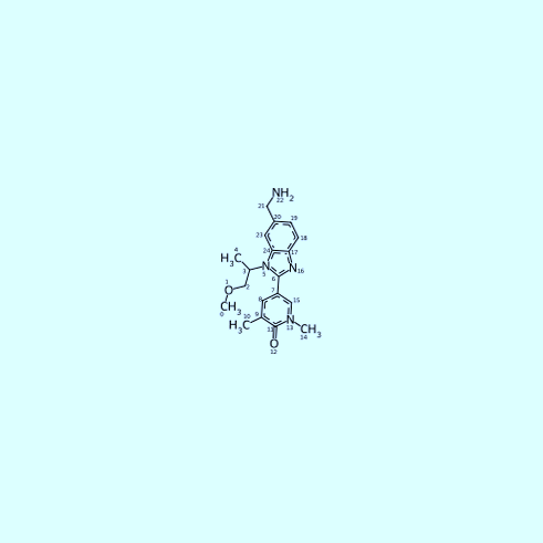 COCC(C)n1c(-c2cc(C)c(=O)n(C)c2)nc2ccc(CN)cc21